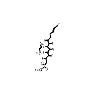 C=CCN.O=S(=O)(O)CC(F)C(F)C(F)C(F)C(F)C(F)C(F)CCCCF